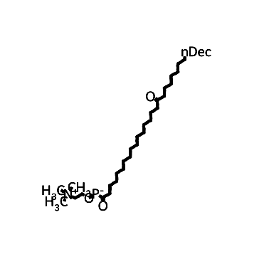 CCCCCCCCCCCCCCCCCC(=O)CCCCCCCCCCCCCCCC(=O)[P-]OCC[N+](C)(C)C